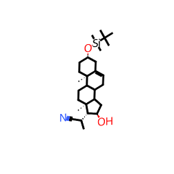 CC(C#N)[C@H]1[C@H](O)CC2C3CC=C4C[C@@H](O[Si](C)(C)C(C)(C)C)CC[C@]4(C)C3CC[C@@]21C